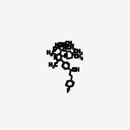 Cc1nc(C)c(C(OC(C)(C)C)C(=O)O)c(N2CCC(C)(C)CC2)c1-c1ccc(C(O)CCc2ccc(F)cc2)cc1